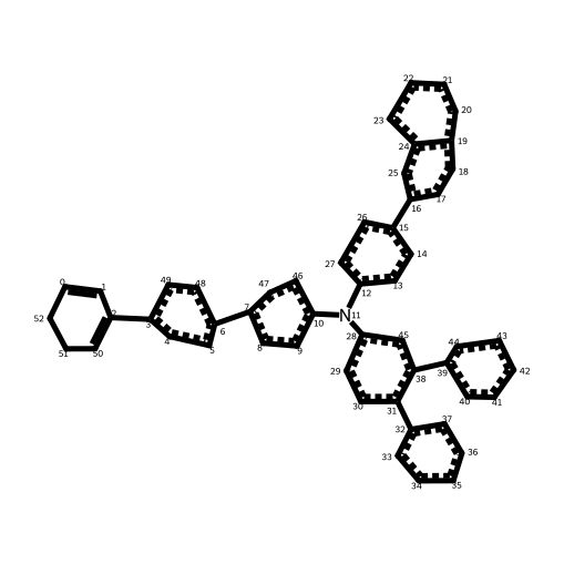 C1=CC(c2ccc(-c3ccc(N(c4ccc(-c5ccc6ccccc6c5)cc4)c4ccc(-c5ccccc5)c(-c5ccccc5)c4)cc3)cc2)=CCC1